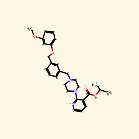 COc1cccc(OCc2cccc(CN3CCN(c4ncccc4C(=O)OC(C)C)CC3)c2)c1